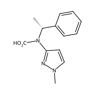 C[C@H](c1ccccc1)N(C(=O)O)c1ccn(C)n1